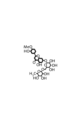 COc1ccc(-c2cc(=O)c3c(O)cc(O[C@@H]4OC(CO[C@@H]5OC(C)[C@H](O)[C@H](O)C5O)[C@@H](O)[C@@H](O)C4O)cc3o2)cc1O